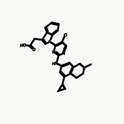 CN1CCc2c(cc(Nc3ncc(Cl)c(-n4cc(CC(=O)O)c5ccccc54)n3)cc2C2CC2)C1